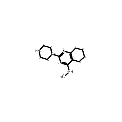 CCCCNc1nc(N2CCNCC2)nc2c1CCCC2